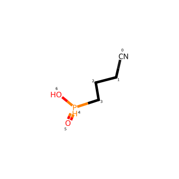 N#CCCC[PH](=O)O